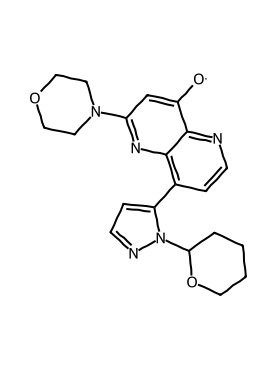 [O]c1cc(N2CCOCC2)nc2c(-c3ccnn3C3CCCCO3)ccnc12